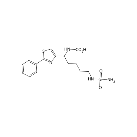 NS(=O)(=O)NCCCCC(NC(=O)O)c1csc(-c2ccccc2)n1